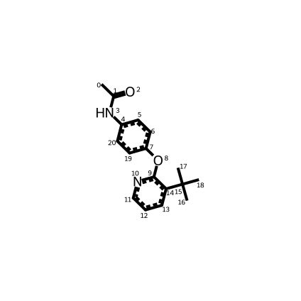 CC(=O)Nc1ccc(Oc2ncccc2C(C)(C)C)cc1